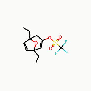 CCC12C=CC(CC)(CC(OS(=O)(=O)C(F)(F)F)=C1)O2